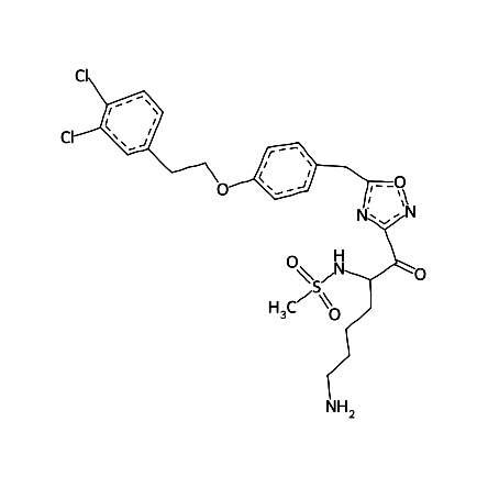 CS(=O)(=O)NC(CCCCN)C(=O)c1noc(Cc2ccc(OCCc3ccc(Cl)c(Cl)c3)cc2)n1